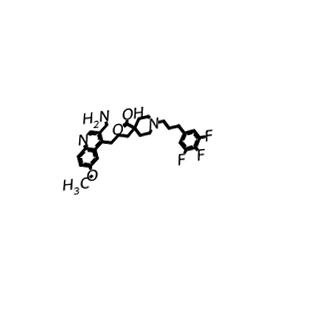 COc1ccc2ncc(CN)c(CCCC3(C(=O)O)CCN(CCCc4cc(F)c(F)c(F)c4)CC3)c2c1